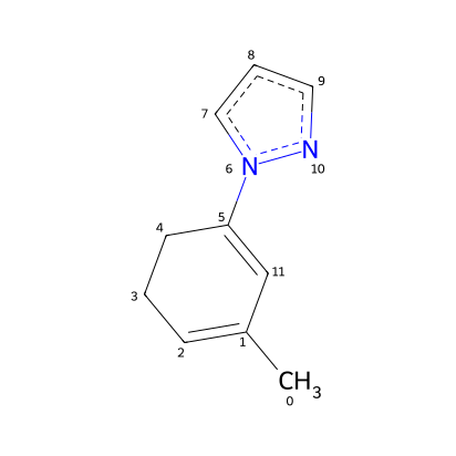 CC1=CCCC(n2cccn2)=C1